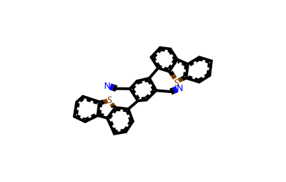 N#Cc1cc(-c2cccc3c2sc2ccccc23)c(C#N)cc1-c1cccc2c1sc1ccccc12